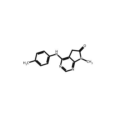 Cc1ccc(Nc2ncnc3c2CC(=O)N3C)cc1